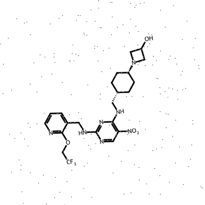 O=[N+]([O-])c1cnc(NCc2cccnc2OCC(F)(F)F)nc1NC[C@H]1CC[C@H](N2CC(O)C2)CC1